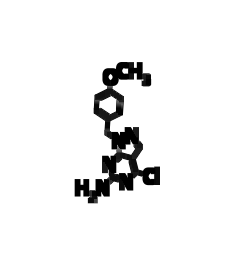 COc1ccc(Cn2ncc3c(Cl)nc(N)nc32)cc1